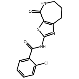 O=C(Nc1nc2c(s1)C(=O)NCCC2)c1ccccc1Cl